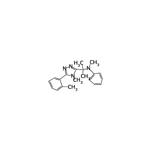 Cc1ccccc1-c1nnc(C(C)(C)N(C)c2ccccc2)n1C